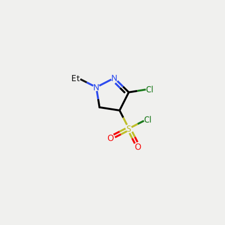 CCN1CC(S(=O)(=O)Cl)C(Cl)=N1